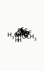 CCOC(=O)C1=C2CC(NC(=O)NC)CN2C(c2nccs2)=N[C@H]1c1ccc(F)cc1C